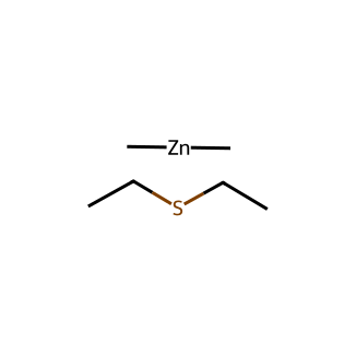 CCSCC.[CH3][Zn][CH3]